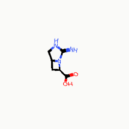 N=C1NCC2CC(C(=O)O)N12